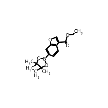 CCOC(=O)c1coc2cc(B3OC(C)(C)C(C)(C)O3)ccc12